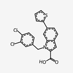 O=C(O)c1cc2ccc(-c3cccs3)cc2n1Cc1ccc(Cl)c(Cl)c1